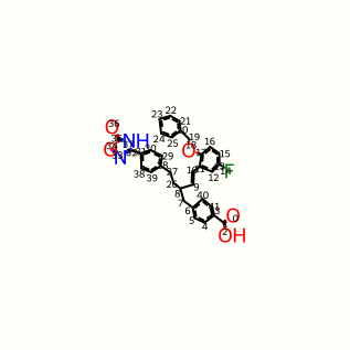 O=C(O)c1ccc(CC(C=Cc2cc(F)ccc2OCc2ccccc2)CCc2ccc(-c3noc(=O)[nH]3)cc2)cc1